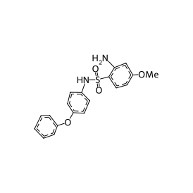 COc1ccc(S(=O)(=O)Nc2ccc(Oc3ccccc3)cc2)c(N)c1